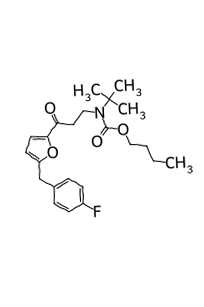 CCCCOC(=O)N(CCC(=O)c1ccc(Cc2ccc(F)cc2)o1)C(C)(C)C